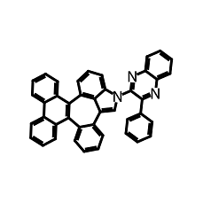 c1ccc(-c2nc3ccccc3nc2-n2cc3c4c(cccc42)-c2c(c4ccccc4c4ccccc24)-c2ccccc2-3)cc1